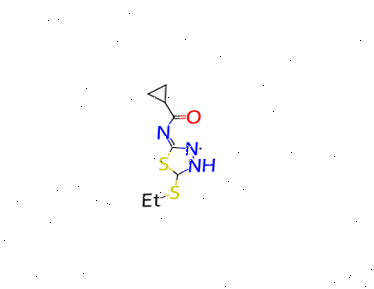 CCSC1N[N]C(=NC(=O)C2CC2)S1